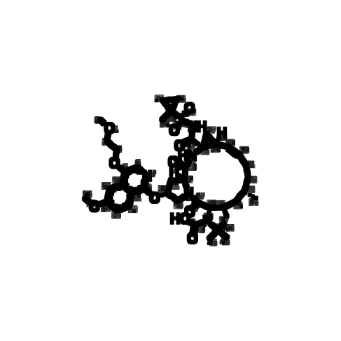 COCCOc1cnc(O[C@@H]2C[C@H]3C(=O)N[C@]4(C(=O)NS(=O)(=O)C5(C)CC5)C[C@H]4/C=C\CC[C@H](C)C[C@@H](C)[C@H](N(C(=O)O)C(C)(C)C)C(=O)N3C2)c2ccc(OC)cc12